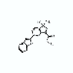 CC(C)(C)OC(=O)N1CC(C)(C)c2cnc(-c3cc4ccccc4o3)cc21